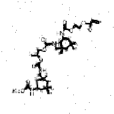 C=CC(=O)OCCOC(=O)NC1CC(C)(C)CC(C)(CNC(=O)OCC(C)OC(=O)NCC2(C)CC(NC(=O)OC)CC(C)(C)C2)C1